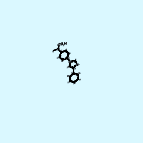 CN(C(=O)O)c1ccc(-n2cnc(-c3ccccc3)c2)cc1